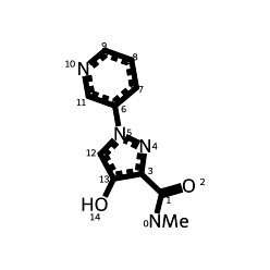 CNC(=O)c1nn(-c2cccnc2)cc1O